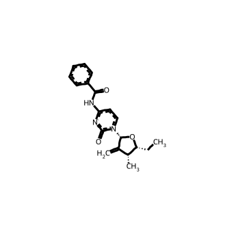 C=C1[C@@H](C)[C@@H](CC)O[C@H]1n1ccc(NC(=O)c2ccccc2)nc1=O